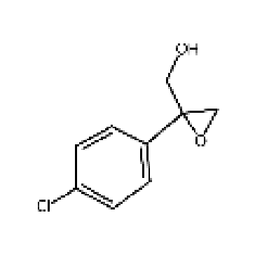 OCC1(c2ccc(Cl)cc2)CO1